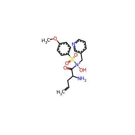 C=CCC(N)C(=O)[N@+](O)(Cc1cccnc1)S(=O)(=O)c1ccc(OC)cc1